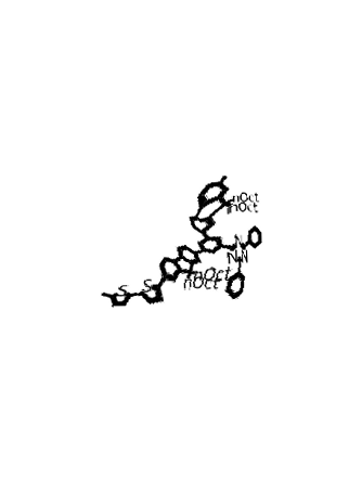 CCCCCCCCC1(CCCCCCCC)c2cc(C)ccc2-c2ccc(-c3cc(-c4ccc5c(c4)C(CCCCCCCC)(CCCCCCCC)c4cc(-c6ccc(-c7ccc(C)s7)s6)ccc4-5)cc(-c4nc(-c5ccccc5)nc(-c5ccccc5)n4)c3)cc21